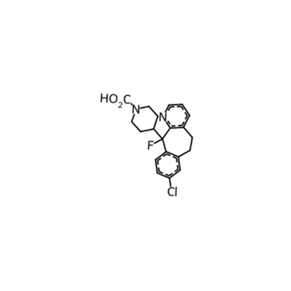 O=C(O)N1CCC(C2(F)c3ccc(Cl)cc3CCc3cccnc32)CC1